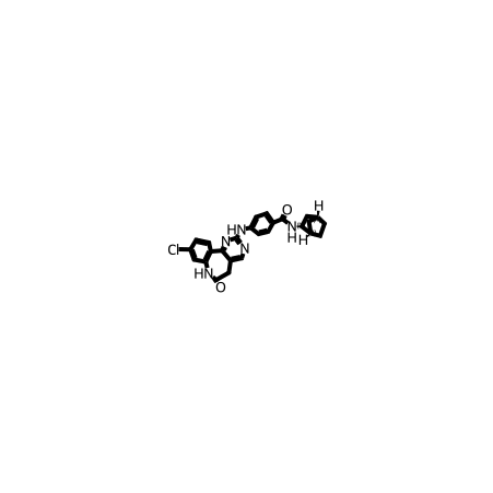 O=C1Cc2cnc(Nc3ccc(C(=O)N[C@@H]4C[C@@H]5CC[C@@H]4C5)cc3)nc2-c2ccc(Cl)cc2N1